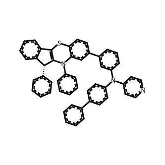 c1ccc(-c2ccc(N(c3ccncc3)c3cccc(-c4ccc5c(c4)N(c4ccccc4)C4=C(S5)c5ccccc5[C@H]4c4ccccc4)c3)cc2)cc1